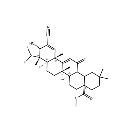 COC(=O)[C@]12CCC(C)(C)CC1C1C(=O)C=C3[C@@]4(C)C=C(C#N)C(O)[C@@](C)(C(F)F)[C@@H]4CC[C@@]3(C)[C@]1(C)CC2